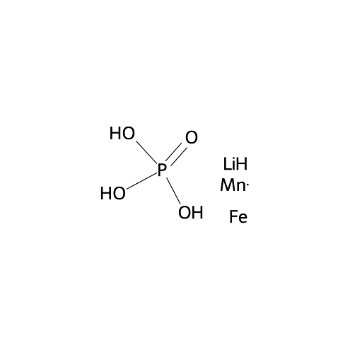 O=P(O)(O)O.[Fe].[LiH].[Mn]